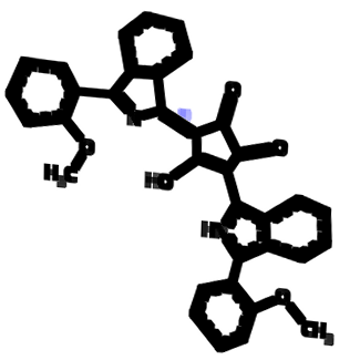 COc1ccccc1C1=N/C(=C2/C(=O)C(=O)C(c3[nH]c(-c4ccccc4OC)c4ccccc34)=C2O)c2ccccc21